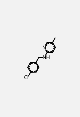 Cc1ccc(NCc2ccc(Cl)cc2)nc1